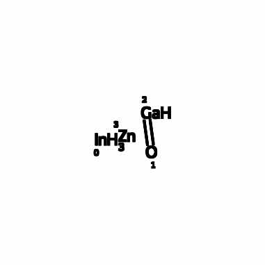 [InH3].[O]=[GaH].[Zn]